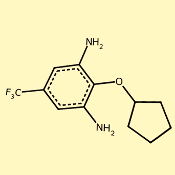 Nc1cc(C(F)(F)F)cc(N)c1OC1CCCC1